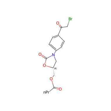 CCCC(=O)OC[C@H]1CN(c2ccc(C(=O)CBr)cc2)C(=O)O1